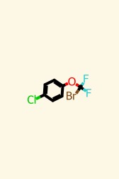 FC(F)(Br)Oc1ccc(Cl)cc1